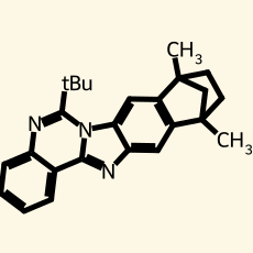 CC(C)(C)c1nc2ccccc2c2nc3cc4c(cc3n12)C1(C)CCC4(C)C1